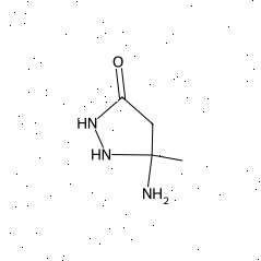 CC1(N)CC(=O)NN1